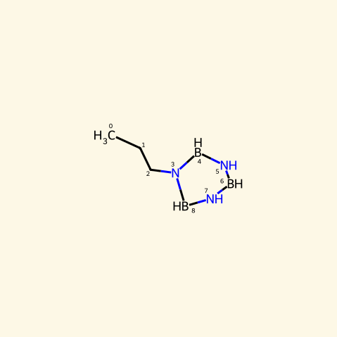 CCCN1BNBNB1